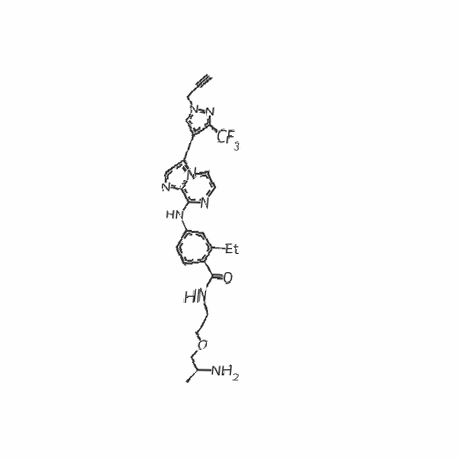 C#CCn1cc(-c2cnc3c(Nc4ccc(C(=O)NCCOC[C@H](C)N)c(CC)c4)nccn23)c(C(F)(F)F)n1